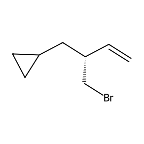 C=C[C@H](CBr)CC1CC1